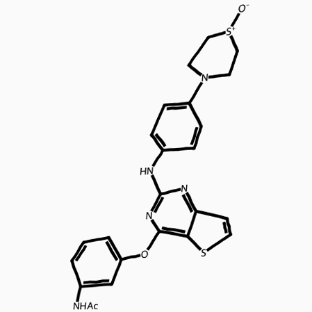 CC(=O)Nc1cccc(Oc2nc(Nc3ccc(N4CC[S+]([O-])CC4)cc3)nc3ccsc23)c1